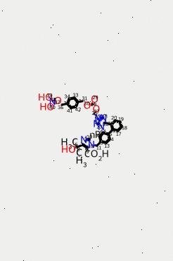 CCCc1nc(C(C)(C)O)c(C(=O)O)n1Cc1ccc(-c2ccccc2-c2nnn(COC(=O)OCc3ccc(CON(O)O)cc3)n2)cc1